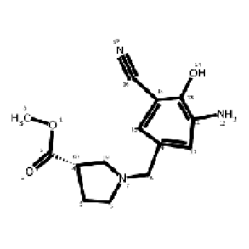 COC(=O)[C@H]1CCN(Cc2cc(N)c(O)c(C#N)c2)C1